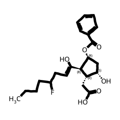 CCCCC(F)CC=C(O)[C@@H]1[C@@H](CC(=O)O)[C@@H](O)C[C@H]1OC(=O)c1ccccc1